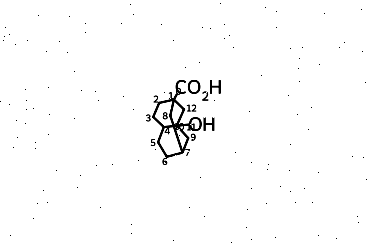 O=C(O)C12CCC3CCC(C1)CC3(O)C2